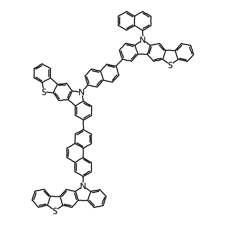 c1ccc2c(-n3c4ccc(-c5ccc6cc(-n7c8ccc(-c9ccc%10c(ccc%11cc(-n%12c%13ccccc%13c%13cc%14sc%15ccccc%15c%14cc%13%12)ccc%11%10)c9)cc8c8cc9sc%10ccccc%10c9cc87)ccc6c5)cc4c4cc5sc6ccccc6c5cc43)cccc2c1